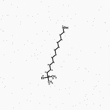 CCCCCCCCCCCCCCCCCCCCCCC(C)(C)CC